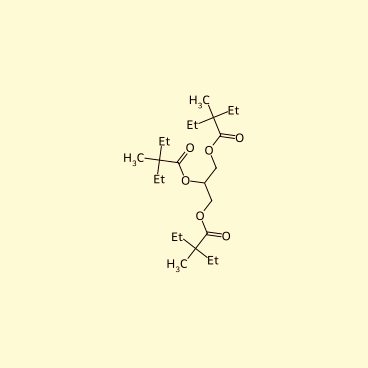 CCC(C)(CC)C(=O)OCC(COC(=O)C(C)(CC)CC)OC(=O)C(C)(CC)CC